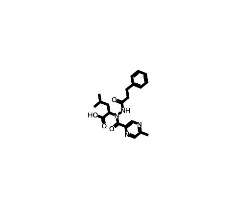 Cc1cnc(C(=O)N(NC(=O)CCc2ccccc2)C(CC(C)C)C(=O)O)cn1